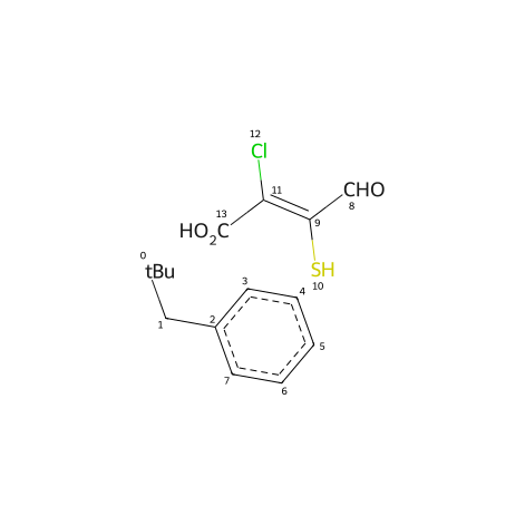 CC(C)(C)Cc1ccccc1.O=CC(S)=C(Cl)C(=O)O